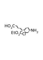 CCOC(=O)Cl.Nc1ccc(C=CC=CC(=O)O)cc1